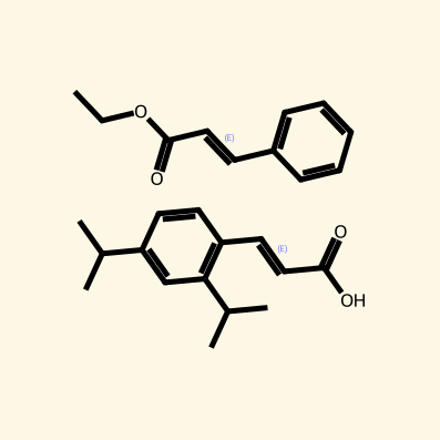 CC(C)c1ccc(/C=C/C(=O)O)c(C(C)C)c1.CCOC(=O)/C=C/c1ccccc1